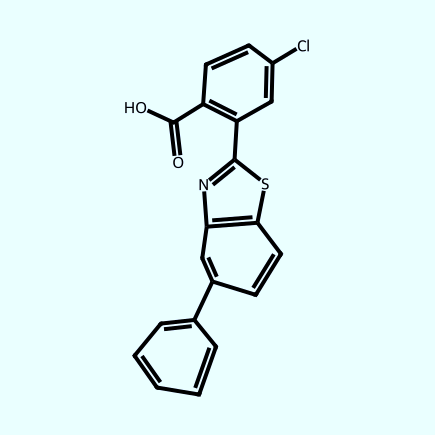 O=C(O)c1ccc(Cl)cc1-c1nc2cc(-c3ccccc3)ccc2s1